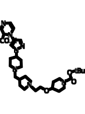 CC(C)(C)OC(=O)N1CCC(OCCN2CCC(CN3CCC(n4cc(N5C=CN=CC5C(=O)O)cn4)CC3)CC2)CC1